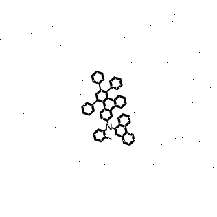 Cc1ccccc1N(c1ccc2c(c1)c1ccccc1c1c(-c3ccccc3)c(-c3ccccc3)cc(-c3ccccc3)c21)c1cc2ccccc2c2ccccc12